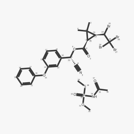 CC1(C)[C@H](C(=O)O[C@H](C#N)c2cccc(Oc3ccccc3)c2)[C@@H]1C(Br)C(Br)(Br)Br.COP(=O)(NC(C)=O)SC